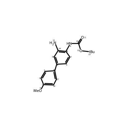 COc1ccc(-c2ccc(NC(=O)OC(C)(C)C)c(N)c2)cc1